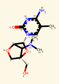 Cc1cn([C@@H]2O[C@@]3(CO)COC2C3N(C)C)c(=O)nc1N